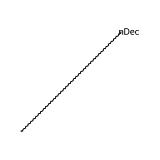 C=CCCCCCCCCCCCCCCCCCCCCCCCCCCCCCCCCCCCCCCCCCCCCCCCCCCCCCCCCCCCCCCCCCCCCCCCCCCCCCCCCCCCCCCCC